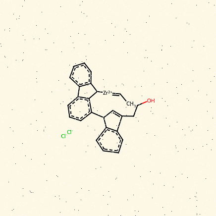 C[CH]=[Zr+2][CH]1c2ccccc2-c2cccc(C3C=C(CCO)c4ccccc43)c21.[Cl-].[Cl-]